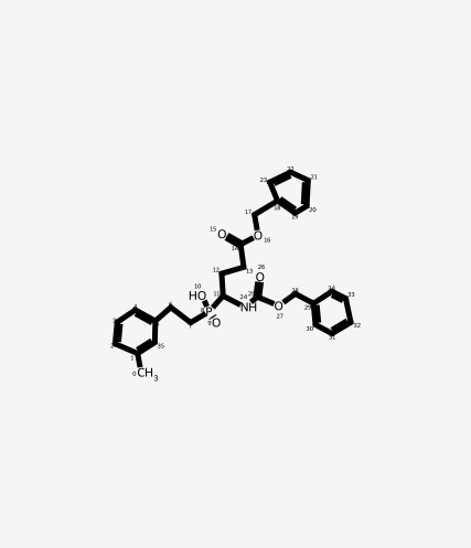 Cc1cccc(CCP(=O)(O)C(CCC(=O)OCc2ccccc2)NC(=O)OCc2ccccc2)c1